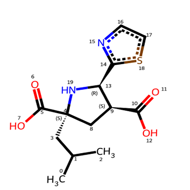 CC(C)C[C@@]1(C(=O)O)C[C@H](C(=O)O)[C@H](c2nccs2)N1